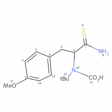 COc1ccc(CC(C(N)=S)N(C(=O)O)C(C)(C)C)cc1